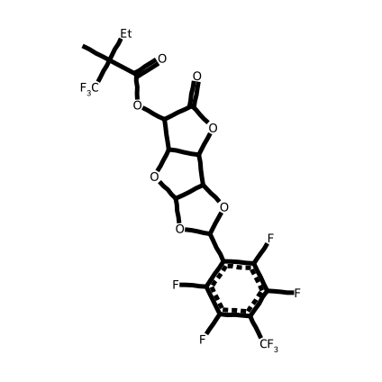 CCC(C)(C(=O)OC1C(=O)OC2C3OC(c4c(F)c(F)c(C(F)(F)F)c(F)c4F)OC3OC12)C(F)(F)F